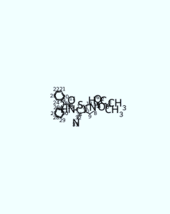 CC(C)(C)OC(=O)N1CCC2=C(C1)SC(NC(=O)C(c1ccccc1)c1ccccc1)C2C#N